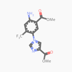 COC(=O)c1cn(-c2cc(C(=O)OC)c(N)cc2C(F)(F)F)cn1